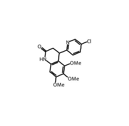 COc1cc2c(c(OC)c1OC)C(c1ccc(Cl)cn1)CC(=O)N2